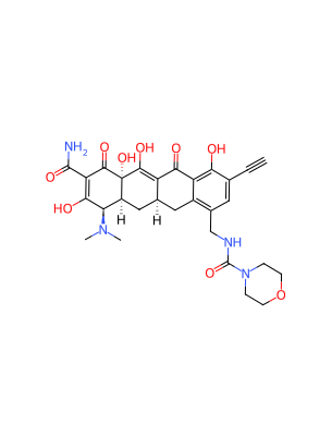 C#Cc1cc(CNC(=O)N2CCOCC2)c2c(c1O)C(=O)C1=C(O)[C@]3(O)C(=O)C(C(N)=O)=C(O)[C@H](N(C)C)[C@@H]3C[C@@H]1C2